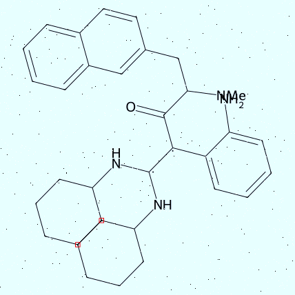 CNC(Cc1ccc2ccccc2c1)C(=O)[C]([C](NC1CCCCC1)NC1CCCCC1)c1ccccc1N